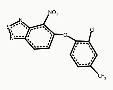 O=[N+]([O-])c1c(Oc2ccc(C(F)(F)F)cc2Cl)ccc2nsnc12